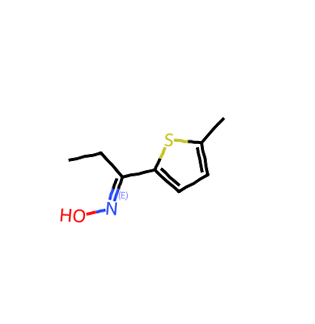 CC/C(=N\O)c1ccc(C)s1